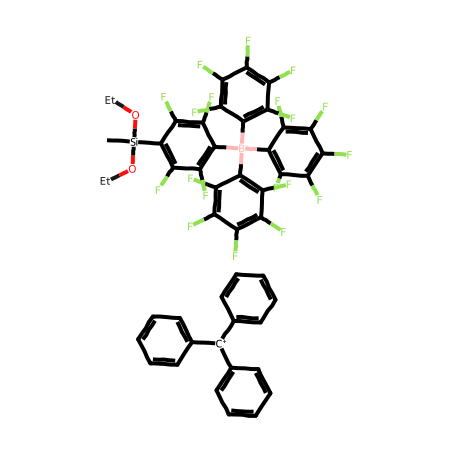 CCO[Si](C)(OCC)c1c(F)c(F)c([B-](c2c(F)c(F)c(F)c(F)c2F)(c2c(F)c(F)c(F)c(F)c2F)c2c(F)c(F)c(F)c(F)c2F)c(F)c1F.c1ccc([C+](c2ccccc2)c2ccccc2)cc1